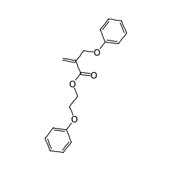 C=C(COc1ccccc1)C(=O)OCCOc1ccccc1